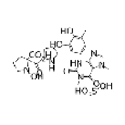 Cc1cccc(O)c1O.Cn1c(=O)[nH]c2ncn(C)c2c1=O.O=C(O)C1(C(=O)C2CCCN2)CCCN1O.O=S(=O)(O)O